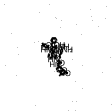 Cc1cc(=O)oc2cc(NC(=O)[C@H](CCCNC(=N)N)NC(=O)[C@@H]3CCCN3C(=O)[C@@H](NC(=O)OC(C)(C)C)C(Cc3ccccc3)C(=O)O)ccc12